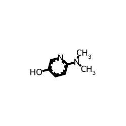 CN(C)c1ccc(O)cn1